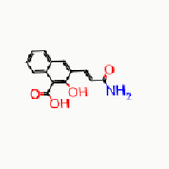 NC(=O)C=Cc1cc2ccccc2c(C(=O)O)c1O